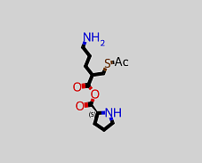 CC(=O)SCC(CCCN)C(=O)OC(=O)[C@@H]1CCCN1